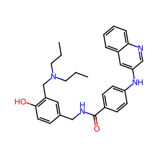 CCCN(CCC)Cc1cc(CNC(=O)c2ccc(Nc3cnc4ccccc4c3)cc2)ccc1O